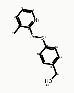 Cc1cccnc1SSc1ccc(CO)cc1